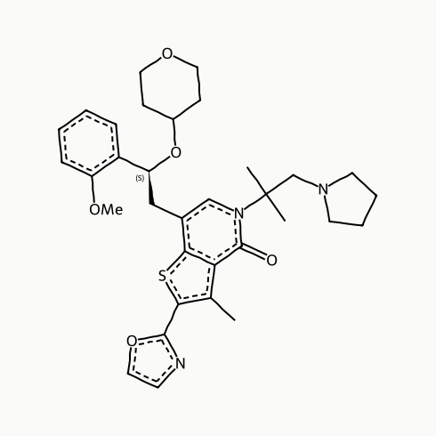 COc1ccccc1[C@H](Cc1cn(C(C)(C)CN2CCCC2)c(=O)c2c(C)c(-c3ncco3)sc12)OC1CCOCC1